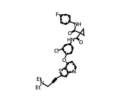 CCN(CC)CC#Cc1cc2nccc(Oc3ccc(NC(=O)C4(C(=O)Nc5ccc(F)cc5)CC4)cc3Cl)c2s1